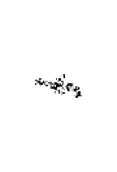 C[C@H]1C[C@@H](Nc2nc(Cl)nc3c2c(Cl)cn3COCC[Si](C)(C)C)CN1C(=O)OC(C)(C)C